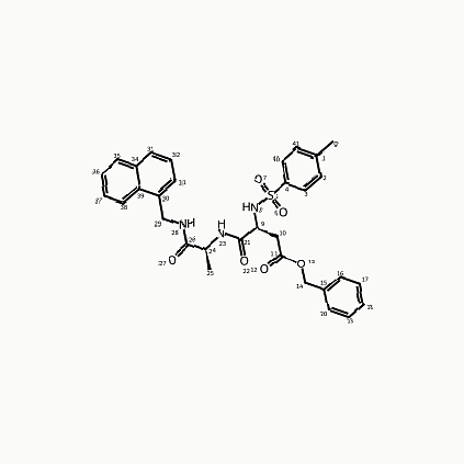 Cc1ccc(S(=O)(=O)N[C@@H](CC(=O)OCc2ccccc2)C(=O)N[C@@H](C)C(=O)NCc2cccc3ccccc23)cc1